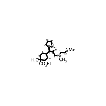 CCOC(=O)C1(C)CCC(c2c(CN(C)CCNC)nn3c2CCC3)CC1